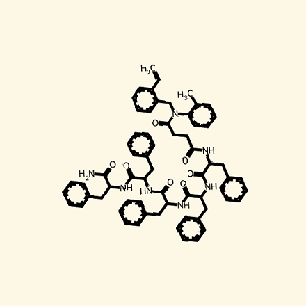 C=Cc1ccccc1CN(C(=O)CCC(=O)NC(Cc1ccccc1)C(=O)NC(Cc1ccccc1)C(=O)NC(Cc1ccccc1)C(=O)NC(Cc1ccccc1)C(=O)NC(Cc1ccccc1)C(N)=O)c1ccccc1C